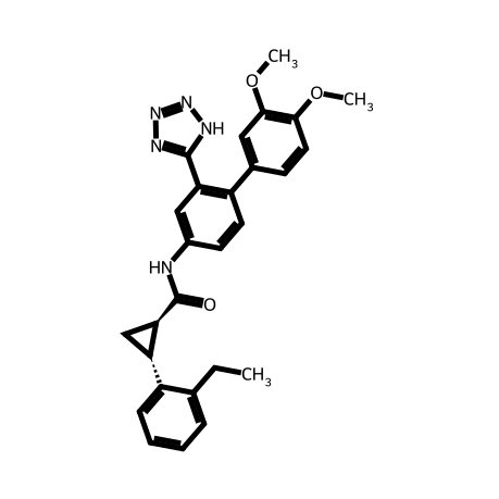 CCc1ccccc1[C@@H]1C[C@H]1C(=O)Nc1ccc(-c2ccc(OC)c(OC)c2)c(-c2nnn[nH]2)c1